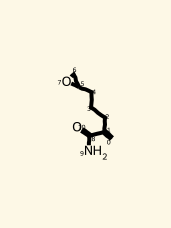 C=C(CCCC1CO1)C(N)=O